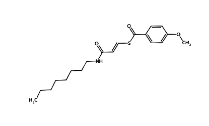 CCCCCCCCNC(=O)C=CSC(=O)c1ccc(OC)cc1